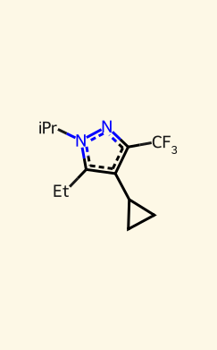 CCc1c(C2CC2)c(C(F)(F)F)nn1C(C)C